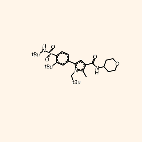 Cc1c(C(=O)NC2CCOCC2)cc(-c2ccc(S(=O)(=O)NC(C)(C)C)c(C(C)(C)C)c2)n1CC(C)(C)C